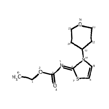 CCOC(=O)/N=c1\sccn1C1CCOCC1